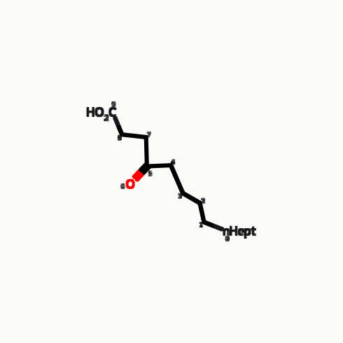 CCCCCCCCCCCC(=O)CCC(=O)O